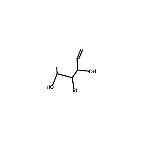 [CH]=CC(O)C(CC)C(C)O